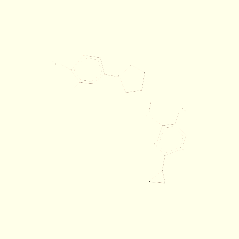 N#Cc1ccc(N2CC[C@H](COc3nc(C4CC4)ncc3C#N)C2)cc1F